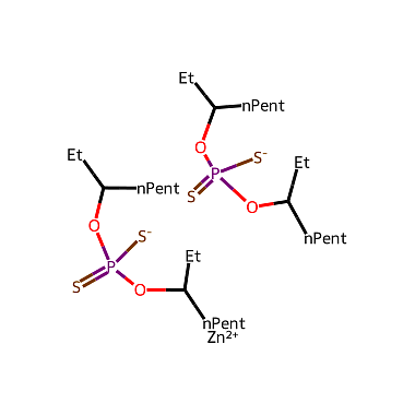 CCCCCC(CC)OP(=S)([S-])OC(CC)CCCCC.CCCCCC(CC)OP(=S)([S-])OC(CC)CCCCC.[Zn+2]